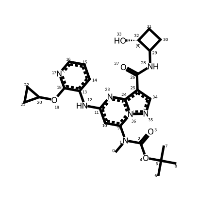 CN(C(=O)OC(C)(C)C)c1cc(Nc2cccnc2OC2CC2)nc2c(C(=O)NC3CC[C@H]3O)cnn12